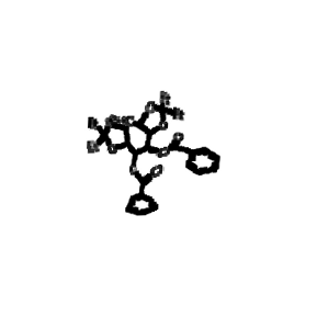 CCC1(CC)OCC(C(OC(=O)c2ccccc2)C(OC(=O)c2ccccc2)C2OC(CC)(CC)OC2C=O)O1